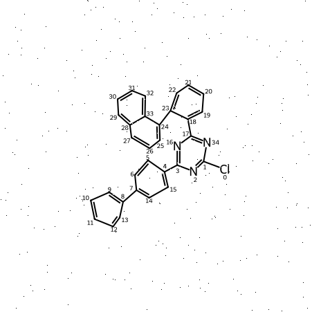 Clc1nc(-c2ccc(-c3ccccc3)cc2)nc(-c2ccccc2-c2cccc3ccccc23)n1